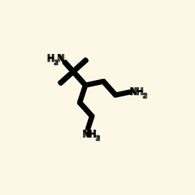 CC(C)(N)C(CCN)CCN